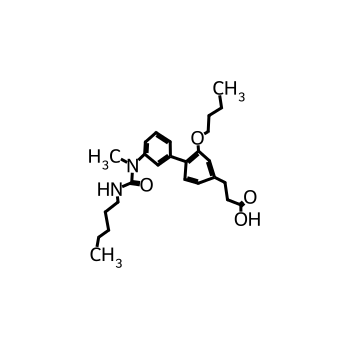 CCCCCNC(=O)N(C)c1cccc(-c2ccc(CCC(=O)O)cc2OCCCC)c1